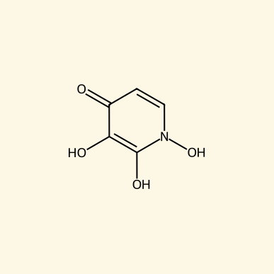 O=c1ccn(O)c(O)c1O